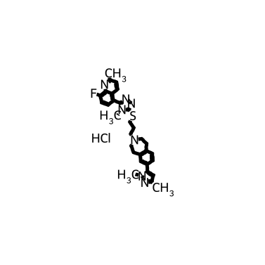 Cc1ccc2c(-c3nnc(SCCCN4CCc5ccc(-c6cc(C)nn6C)cc5CC4)n3C)ccc(F)c2n1.Cl